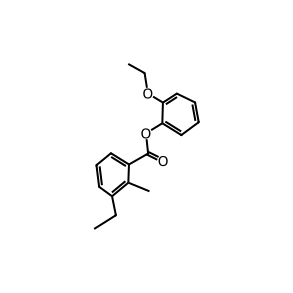 CCOc1ccccc1OC(=O)c1cccc(CC)c1C